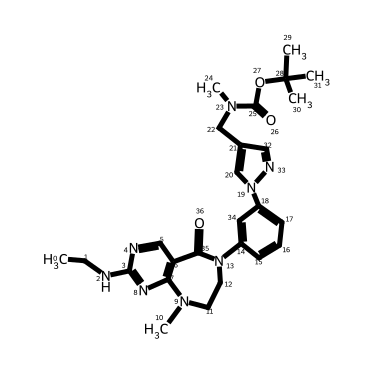 CCNc1ncc2c(n1)N(C)CCN(c1cccc(-n3cc(CN(C)C(=O)OC(C)(C)C)cn3)c1)C2=O